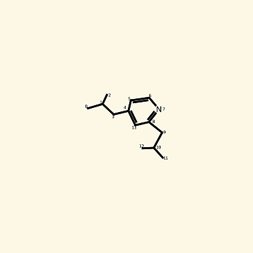 CC(C)Cc1ccnc(CC(C)C)c1